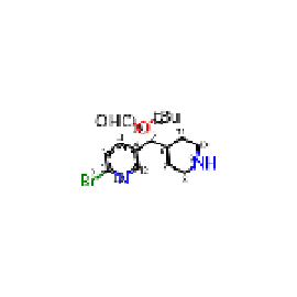 Brc1ccc(CC2CCNCC2)cn1.CC(C)(C)OC=O